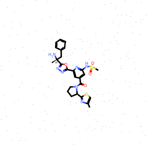 Cc1csc(C2CCCN2C(=O)c2cc(NS(C)(=O)=O)nc(-c3nnc([C@](C)(N)Cc4ccccc4)o3)c2)n1